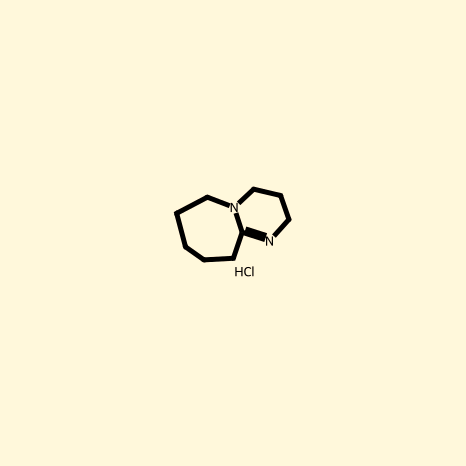 C1CCC2=NCCCN2CC1.Cl